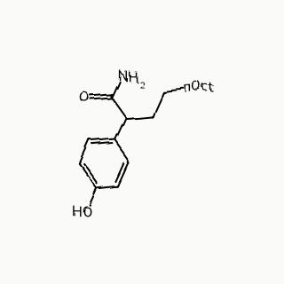 CCCCCCCCCCC(C(N)=O)c1ccc(O)cc1